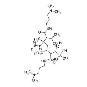 CCC(C(C(=O)NCCCN(C)C)C(CC(C)(PBI)C(C(=O)NCCCN(C)C)C(C)C(=O)O)C(=O)O)[Si](O)(O)O